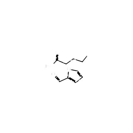 CCCCC(=O)O.O=Cc1ccco1